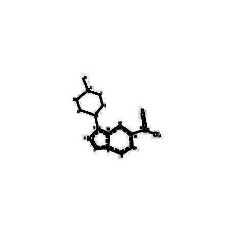 CN1CCC(n2ncc3ccc([N+](=O)[O-])cc32)CC1